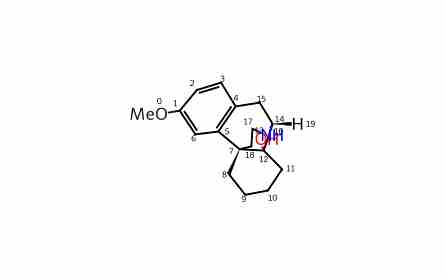 COc1ccc2c(c1)[C@@]13CCCC[C@@]1(O)[C@@H](C2)NCC3